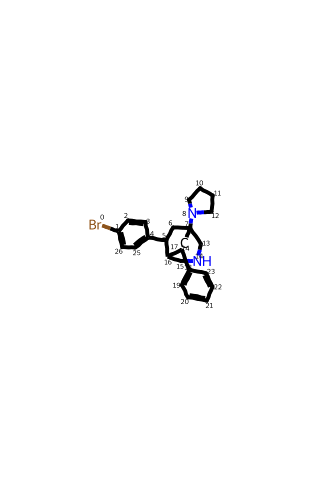 Brc1ccc(C2CC3(N4CCCC4)CNCC2C(c2ccccc2)C3)cc1